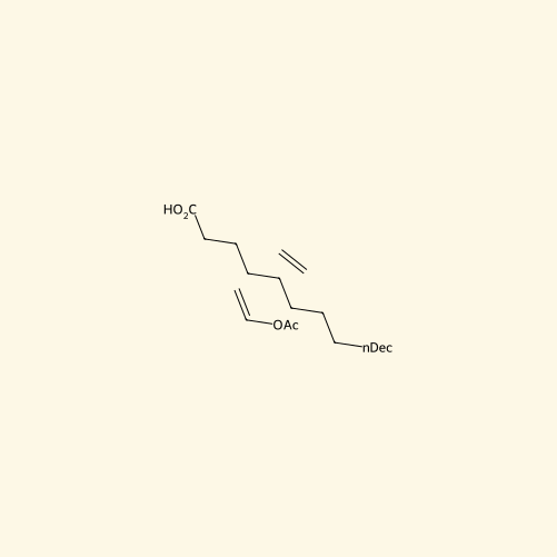 C=C.C=COC(C)=O.CCCCCCCCCCCCCCCCCC(=O)O